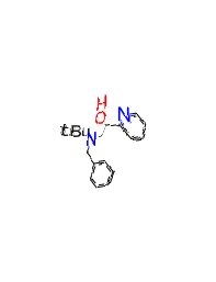 CC(C)(C)N(Cc1ccccc1)CC(O)c1ccccn1